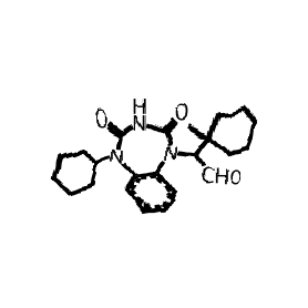 CC1(C(C=O)N2C(=O)NC(=O)N(C3CCCCC3)c3ccccc32)CCCCC1